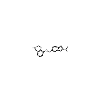 CC(C)n1cc2cc(COc3cccc4c3CCNC4)ccc2n1